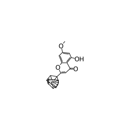 COc1cc(O)c2c(=O)cc([C]34[CH]5[CH]6[CH]7[CH]3[Fe]6754389%10[CH]4[CH]3[CH]8[CH]9[CH]4%10)oc2c1